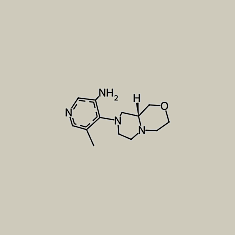 Cc1cncc(N)c1N1CCN2CCOC[C@H]2C1